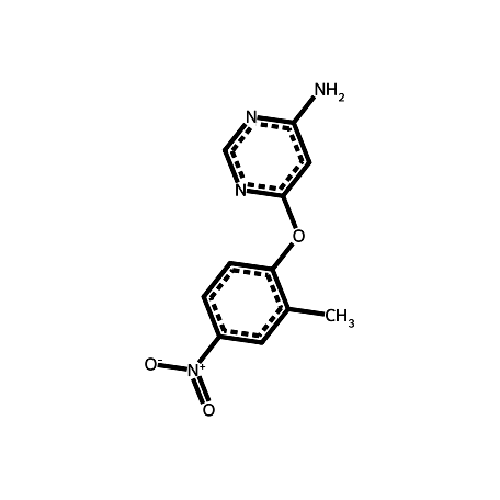 Cc1cc([N+](=O)[O-])ccc1Oc1cc(N)ncn1